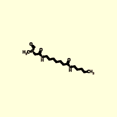 CCCCCNC(=O)CCCCCCNC(=O)CN(C)[C]=O